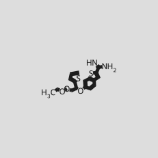 CCOOCC(Oc1ccc2cc(C(=N)N)sc2c1)c1cccs1